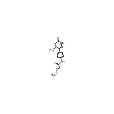 CCOCC(=O)Nc1ccc(C2=NNC(=O)CC2C)cc1